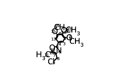 COc1cc(-c2nc(CCl)c(C)o2)cc(OC)c1OC